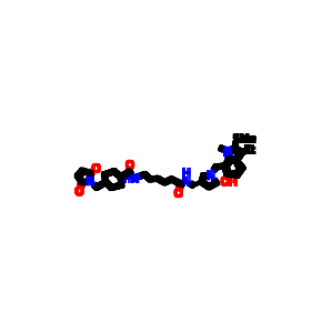 CCc1c(SC)n(C)c2c(CN3CC[C@@H](CNC(=O)CCCCCNC(=O)C4CCC(CN5C(=O)C=CC5=O)CC4)C3)c(O)ccc12